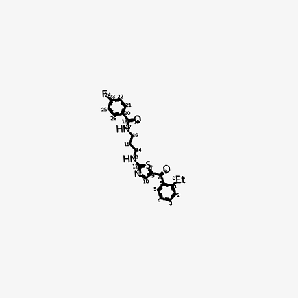 CCc1ccccc1C(=O)c1cnc(NCCCNC(=O)c2ccc(F)cc2)s1